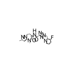 CC1C=C2N(C)C(=O)[C@@H](NC(=O)c3ncn(Cc4ncccc4F)n3)CCN2N1C